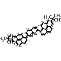 CC(C)(C)c1cc2ccc3ccc(-c4ccc5ccc(-c6ccc7ccc8cc(C(C)(C)C)cc9ccc6c7c89)nc5n4)c4ccc(c1)c2c34